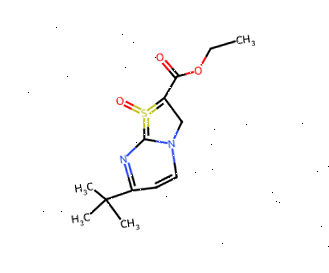 CCOC(=O)C1=S(=O)=C2N=C(C(C)(C)C)C=CN2C1